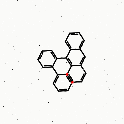 [c]1ccc2cc3ccccc3c(-c3ccccc3-c3ccccc3)c2c1